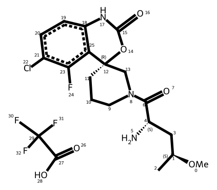 CO[C@@H](C)C[C@H](N)C(=O)N1CCC[C@@]2(C1)OC(=O)Nc1ccc(Cl)c(F)c12.O=C(O)C(F)(F)F